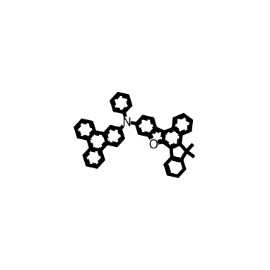 CC1(C)C2=C(C=CCC2)c2c1c1ccccc1c1c2oc2cc(N(c3ccccc3)c3ccc4c5ccccc5c5ccccc5c4c3)ccc21